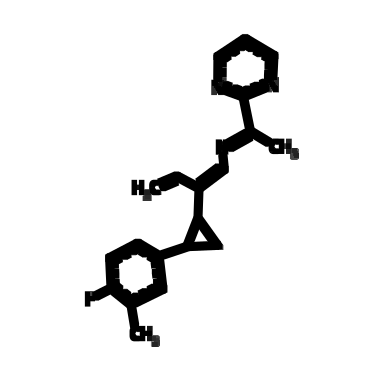 C=C/C(=C\N=C(/C)c1ncccn1)C1CC1c1ccc(F)c(C)c1